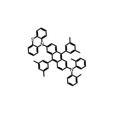 Cc1cc(C)cc(-c2c3ccc(N4c5ccccc5Sc5ccccc54)cc3c(-c3cc(C)cc(C)c3)c3ccc(N(c4ccccc4C)c4ccccc4C)cc23)c1